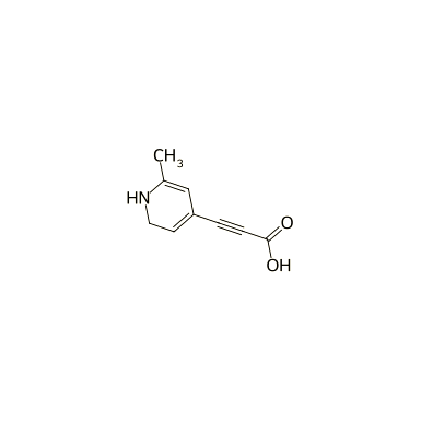 CC1=CC(C#CC(=O)O)=CCN1